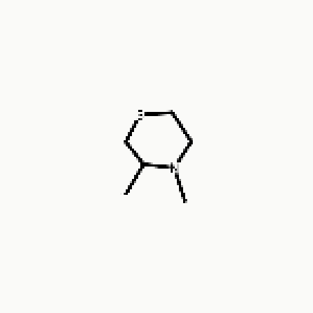 [CH2]C1CSCCN1C